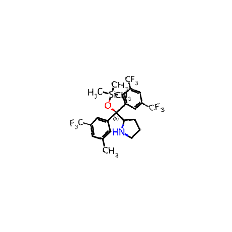 Cc1cc(C(F)(F)F)cc([C@](O[Si](C)(C)C)(c2cc(C(F)(F)F)cc(C(F)(F)F)c2)C2CCCN2)c1